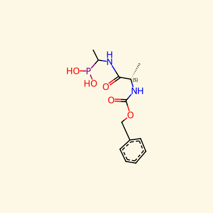 CC(NC(=O)[C@H](C)NC(=O)OCc1ccccc1)P(O)O